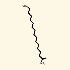 NC(=O)CCCCCCCCCCCCCCC=O